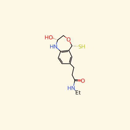 CCNC(=O)CCc1ccc2c(c1)[C@@H](S)OC[C@@H](O)N2